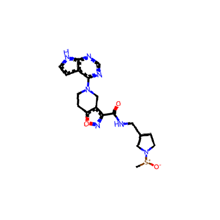 C[S+]([O-])N1CCC(CNC(=O)c2noc3c2CN(c2ncnc4[nH]ccc24)CC3)C1